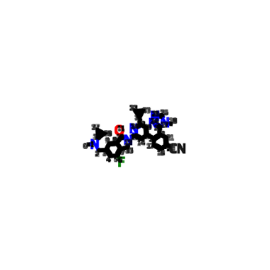 CN(Cc1cc(F)c2c(c1)C(=O)N(c1cc(-c3ccc(C#N)cc3-c3nncn3C)cc(C3CC3)n1)C2)C1CC1